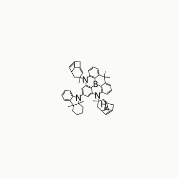 CC1(C)c2cccc3c2B2c4c(cc(N5c6ccccc6C6(C)CCCCC56C)cc4N(C4(C)C=C5CC6=CC(C4)[C@H]65)c4cccc1c42)N3C1(C)C=C2CC3=CC(C1)C32